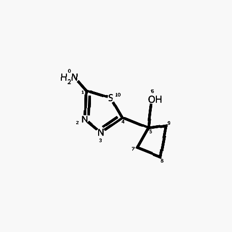 Nc1nnc(C2(O)CCC2)s1